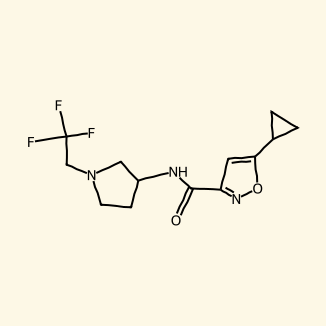 O=C(NC1CCN(CC(F)(F)F)C1)c1cc(C2CC2)on1